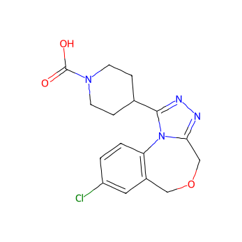 O=C(O)N1CCC(c2nnc3n2-c2ccc(Cl)cc2COC3)CC1